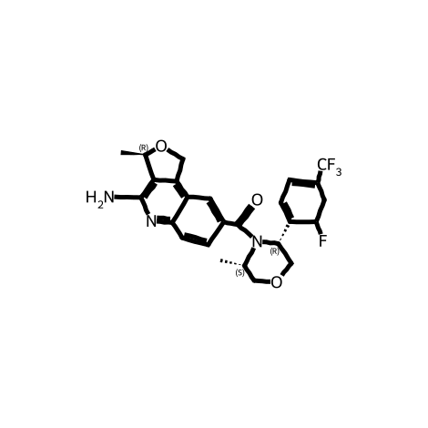 C[C@H]1OCc2c1c(N)nc1ccc(C(=O)N3[C@@H](C)COC[C@H]3C3=CC=C(C(F)(F)F)CC3F)cc21